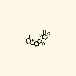 N[C@@H]1[C@@H](Cc2ccc3c(c2)CN(C2CCC(=O)NC2=O)C3=O)CCC[C@@H]1F